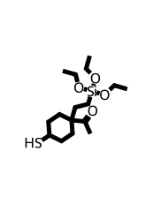 CCO[Si](CCC1(C(C)=O)CCC(S)CC1)(OCC)OCC